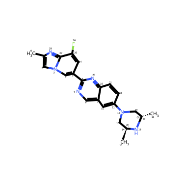 Cc1cn2cc(-c3ncc4cc(N5C[C@H](C)N[C@@H](C)C5)ccc4n3)cc(F)c2n1